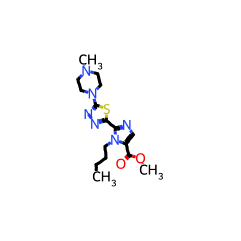 CCCCn1c(C(=O)OC)cnc1-c1nnc(N2CCN(C)CC2)s1